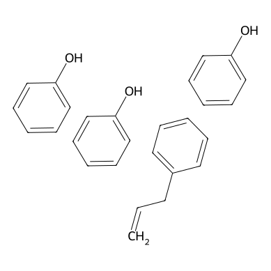 C=CCc1ccccc1.Oc1ccccc1.Oc1ccccc1.Oc1ccccc1